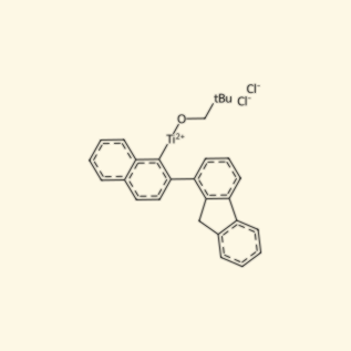 CC(C)(C)C[O][Ti+2][c]1c(-c2cccc3c2Cc2ccccc2-3)ccc2ccccc12.[Cl-].[Cl-]